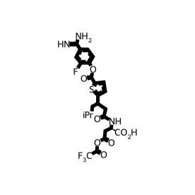 CC(C)CC(CC(=O)N[C@@H](CC(=O)OC(=O)C(F)(F)F)C(=O)O)c1ccc(C(=O)Oc2ccc(C(=N)N)cc2F)s1